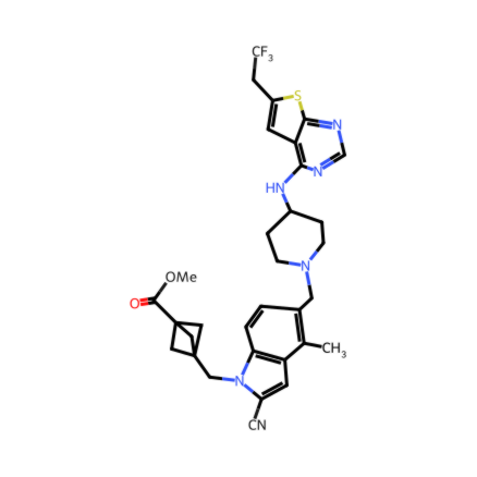 COC(=O)C12CC(Cn3c(C#N)cc4c(C)c(CN5CCC(Nc6ncnc7sc(CC(F)(F)F)cc67)CC5)ccc43)(C1)C2